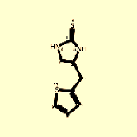 S=C1NCC(Cc2cccs2)N1